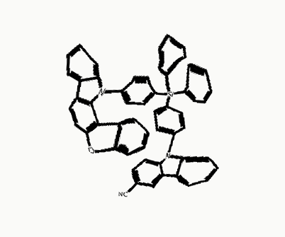 N#Cc1ccc2c(c1)c1ccccc1n2-c1ccc([Si](c2ccccc2)(c2ccccc2)c2ccc(-n3c4ccccc4c4ccc5oc6ccccc6c5c43)cc2)cc1